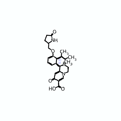 CC/C(C)=c1/c(OCC2CCC(=O)N2)ccc/c1=C1\c2cc(=O)c(C(=O)O)cn2CCN1C